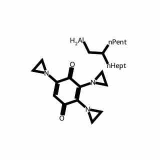 CCCCCCCC([CH2][AlH2])CCCCC.O=C1C=C(N2CC2)C(=O)C(N2CC2)=C1N1CC1